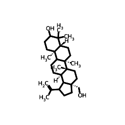 C=C(C)C1CC[C@]2(CO)CC[C@]3(C)[C@H](CCC4[C@@]5(C)CCC(O)C(C)(C)[C@@H]5CC[C@]43C)C12